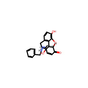 O=C1C=CC2(O)[C@H]3Cc4ccc(O)c5c4[C@@]2(CCN3Cc2ccccc2)[C@H]1O5